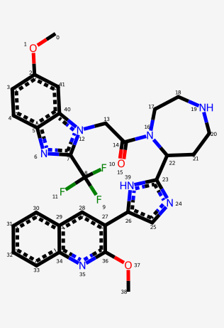 COc1ccc2nc(C(F)(F)F)n(CC(=O)N3CCNCCC3c3ncc(-c4cc5ccccc5nc4OC)[nH]3)c2c1